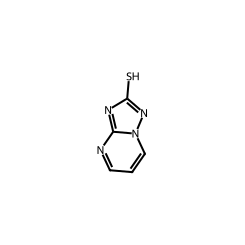 Sc1nc2ncccn2n1